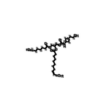 CCCCCCCC/C=C\CCCCCCCC(=O)OC(COC(=O)CCCCCCCCCCCCCCC)COC(=O)NC1CN(CCO)C1